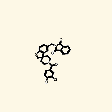 O=C(c1ccc(Cl)c(Cl)c1)N1CCC2(CC1)CSc1ccc(CN3C(=O)c4ccccc4C3=O)cc12